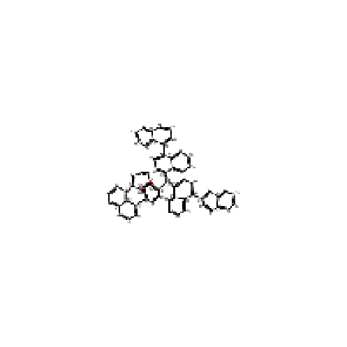 c1ccc(-c2cccc3cccc(-c4ccc(N(c5ccc(-c6ccc7ccccc7c6)c6ccccc56)c5ccc(-c6cccc7ccccc67)c6ccccc56)cc4)c23)cc1